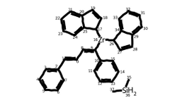 C(=Cc1ccccc1)C=[C](c1ccccc1)[Zr]([CH]1C=Cc2ccccc21)[CH]1C=Cc2ccccc21.C[SiH2]C